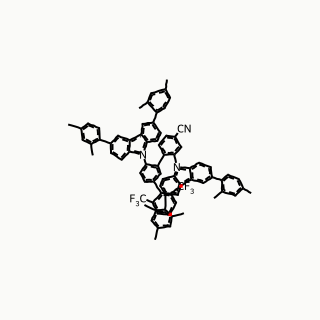 Cc1ccc(-c2ccc3c(c2)c2cc(-c4ccc(C)cc4C)ccc2n3-c2ccc(-c3c(C(F)(F)F)cccc3C(F)(F)F)cc2-c2ccc(C#N)cc2-n2c3ccc(-c4ccc(C)cc4C)cc3c3cc(-c4c(C)cc(C)cc4C)ccc32)c(C)c1